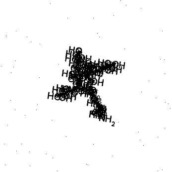 CSC[C@H](NC(=O)[C@H](CCC(=O)NC[C@H](O)[C@@H](O)[C@H](O)[C@H](O)CO)NC(=O)[C@H](CCC(=O)O)NC(=O)[C@H](CCC(=O)NC[C@H](O)[C@@H](O)[C@H](O)[C@H](O)CO)NC(=O)[C@H](CCC(=O)O)NC(=O)[C@H](CCC(=O)NC[C@H](O)[C@@H](O)[C@H](O)[C@H](O)CO)NC(=O)CC[C@H](NC(=O)c1ccc(NCc2cnc3nc(N)[nH]c(=O)c3n2)cc1)C(=O)O)C(=O)O